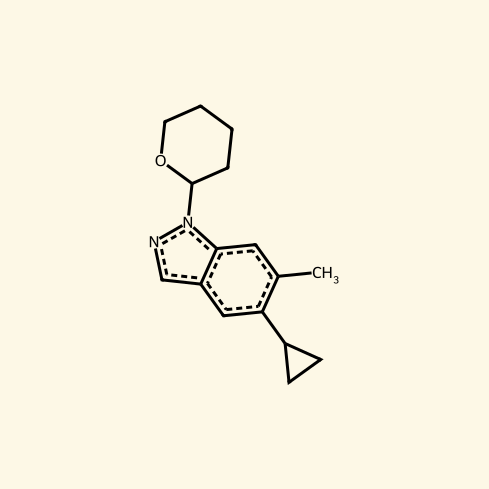 Cc1cc2c(cnn2C2CCCCO2)cc1C1CC1